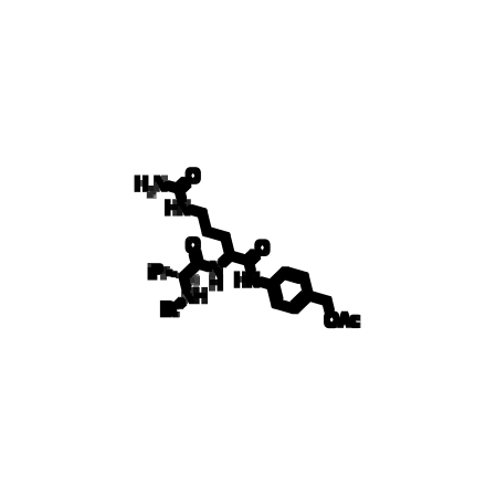 CCN[C@@H](C(=O)NC(CCCNC(N)=O)C(=O)Nc1ccc(COC(C)=O)cc1)C(C)C